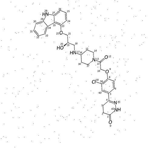 O=C1CCC(c2ccc(OCC(=O)N3CCC(NC[C@@H](O)COc4cccc5[nH]c6ccccc6c45)CC3)c(Cl)c2)=NN1